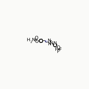 NC(=O)Oc1ccc(/C=C/c2ncn(-c3ccc(OC(F)(F)F)cn3)n2)cc1